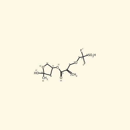 C=C(COCC(F)(F)S(=O)(=O)O)C(=O)OC1COC(C)(O)C1